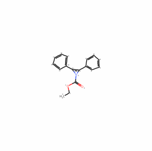 CCOC(=O)N1C(c2ccccc2)=C1c1ccccc1